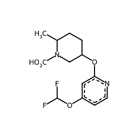 CC1CCC(Oc2cc(OC(F)F)ccn2)CN1C(=O)O